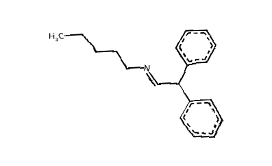 CCCCCN=CC(c1ccccc1)c1ccccc1